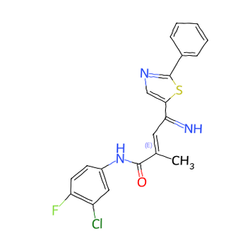 C/C(=C\C(=N)c1cnc(-c2ccccc2)s1)C(=O)Nc1ccc(F)c(Cl)c1